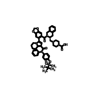 CC(C)(C)[Si](C)(C)Oc1ccc(N(C(=O)c2cc(-c3cc4c(cc3C(=O)N3Cc5ccccc5C[C@H]3CN3CCN(C(=O)O)CC3)OCO4)n3c2CCCC3)c2ccccc2)cc1